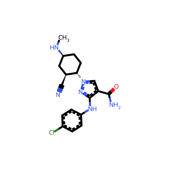 CN[C@H]1CC[C@H](n2cc(C(N)=O)c(Nc3ccc(Cl)cc3)n2)[C@@H](C#N)C1